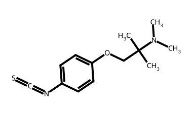 CN(C)C(C)(C)COc1ccc(N=C=S)cc1